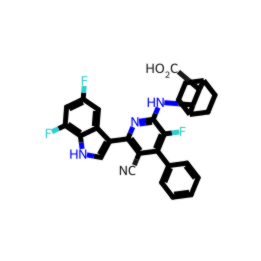 N#Cc1c(-c2c[nH]c3c(F)cc(F)cc23)nc(NC2C3CCC(CC3)C2C(=O)O)c(F)c1-c1ccccc1